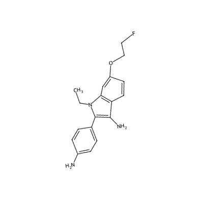 CCn1c(-c2ccc(N)cc2)c(N)c2ccc(OCCF)cc21